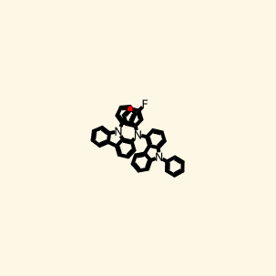 Fc1cccc(N(c2cccc3c2c2ccccc2n3-c2ccccc2)c2cccc3c4ccccc4n(-c4ccccc4)c23)c1